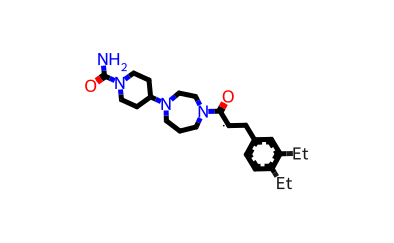 CCc1ccc(C[CH]C(=O)N2CCCN(C3CCN(C(N)=O)CC3)CC2)cc1CC